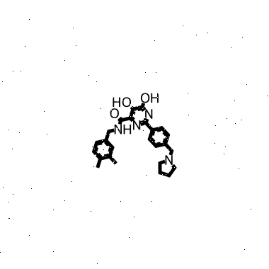 Cc1ccc(CNC(=O)c2nc(-c3ccc(CN4CCCC4)cc3)nc(O)c2O)cc1C